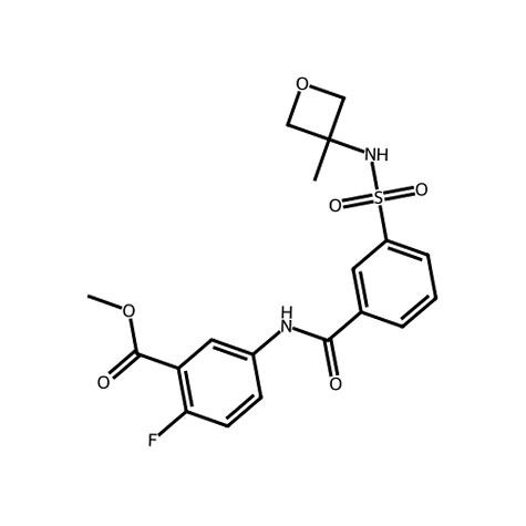 COC(=O)c1cc(NC(=O)c2cccc(S(=O)(=O)NC3(C)COC3)c2)ccc1F